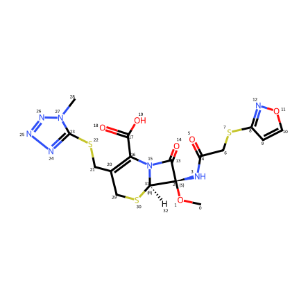 CO[C@@]1(NC(=O)CSc2ccon2)C(=O)N2C(C(=O)O)=C(CSc3nnnn3C)CS[C@@H]21